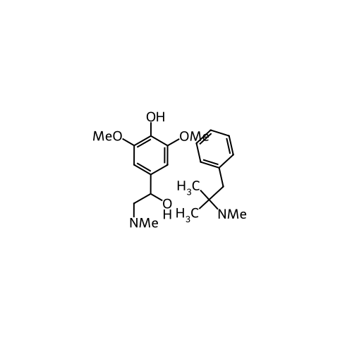 CNC(C)(C)Cc1ccccc1.CNCC(O)c1cc(OC)c(O)c(OC)c1